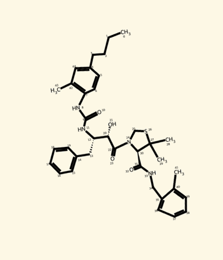 CCCCc1ccc(NC(=O)N[C@@H](Cc2ccccc2)[C@H](O)C(=O)N2CSC(C)(C)[C@H]2C(=O)NCc2ccccc2C)c(C)c1